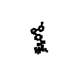 CC(C)(C)OC(=O)Nc1cnc(N2CCCC2c2cccc(F)c2)cn1